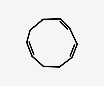 [CH]1/C=C\C=C/CC/C=C\C1